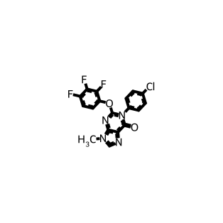 Cn1cnc2c(=O)n(-c3ccc(Cl)cc3)c(Oc3ccc(F)c(F)c3F)nc21